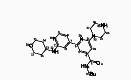 CC(C)(C)NC(=O)c1cc(-c2ccnc(NC3CCOCC3)c2)nc(N2CCNCC2)c1